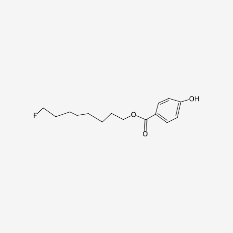 O=C(OCCCCCCCCF)c1ccc(O)cc1